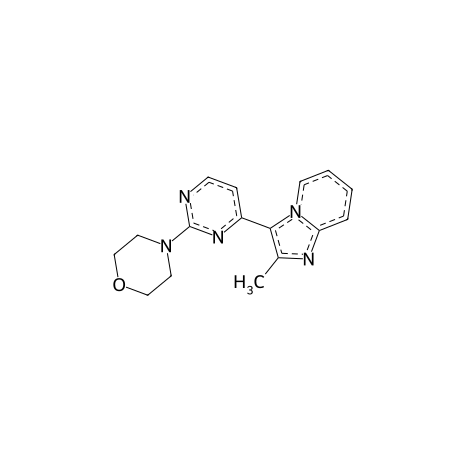 Cc1nc2ccccn2c1-c1ccnc(N2CCOCC2)n1